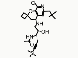 CC(=O)N[C@@H](CC#C[Si](C)(C)C)[C@H](O)CN[C@H]1CC2(CCC2)Oc2c1cc(CC(C)(C)C)nc2Cl